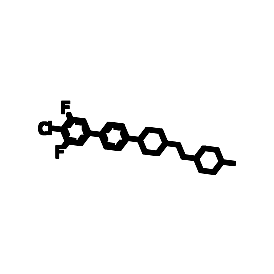 CC1CCC(CCC2CCC(c3ccc(-c4cc(F)c(Cl)c(F)c4)cc3)CC2)CC1